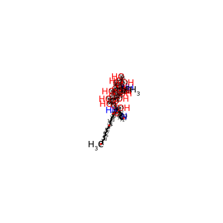 CCCCCCCCCCCCCCCCCC(=O)N[C@@H](CO[C@@H]1OC(CO)[C@@H](O[C@@H]2OC(CO)[C@H](O)C(O[C@]3(C=O)CC(O)C(NC(C)=O)C([C@H](O)[C@H](O)CO)O3)C2O)C(O)C1O)[C@H](O)/C=C/c1ccccn1